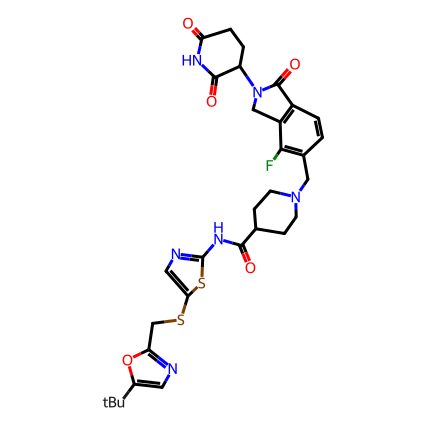 CC(C)(C)c1cnc(CSc2cnc(NC(=O)C3CCN(Cc4ccc5c(c4F)CN(C4CCC(=O)NC4=O)C5=O)CC3)s2)o1